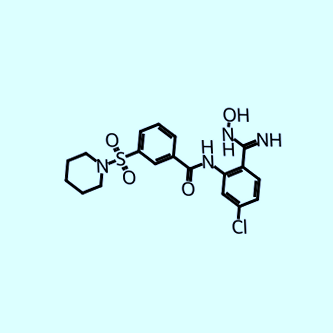 N=C(NO)c1ccc(Cl)cc1NC(=O)c1cccc(S(=O)(=O)N2CCCCC2)c1